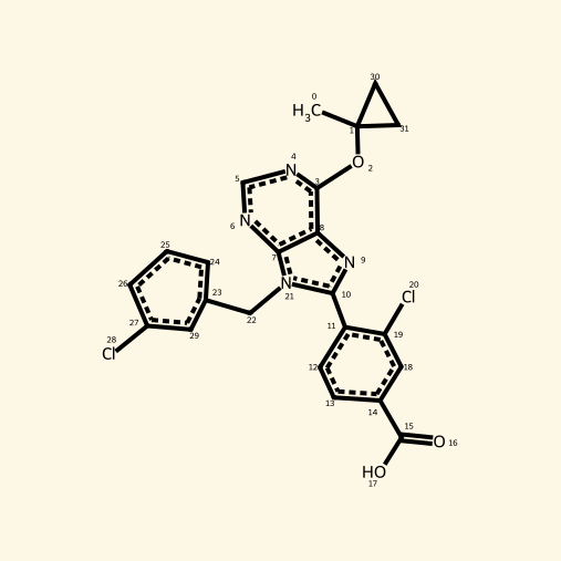 CC1(Oc2ncnc3c2nc(-c2ccc(C(=O)O)cc2Cl)n3Cc2cccc(Cl)c2)CC1